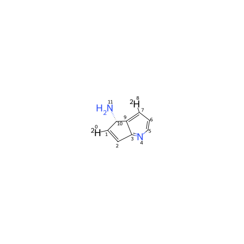 [2H]C1=Cc2nccc([2H])c2[C@H]1N